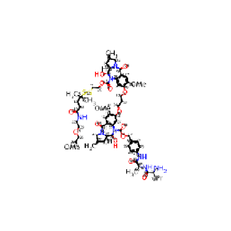 C=C1C[C@H]2[C@H](O)N(C(=O)OCCSSC(C)(C)CCC(=O)NCCOCCOC)c3cc(OCCCOc4cc5c(cc4OC)C(=O)N4CC(=C)C[C@H]4[C@H](O)N5C(=O)OCc4ccc(NC(=O)[C@H](C)NC(=O)[C@@H](N)C(C)C)cc4)c(OC)cc3C(=O)N2C1